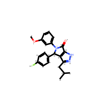 COc1cccc(N2C(=O)c3[nH]nc(CC(C)C)c3C2c2ccc(F)cc2)c1